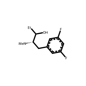 CCC(O)[C@H](Cc1cc(F)cc(F)c1)NC